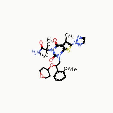 COc1ccccc1C(Cn1c(=O)n(C(C)(C)C(N)=O)c(=O)c2c(C)c(-n3nccn3)sc21)OC1CCOCC1